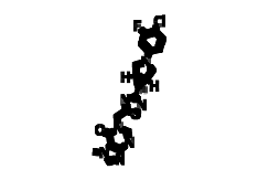 Cn1cnc2ncn(Cc3nc([C@H]4[C@@H]5CN(c6ccc(Cl)c(F)c6)C[C@@H]54)no3)c(=O)c21